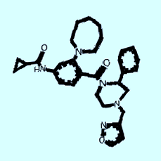 O=C(Nc1ccc(C(=O)N2CCN(Cc3ccon3)CC2c2ccccc2)c(N2CCCCCC2)c1)C1CC1